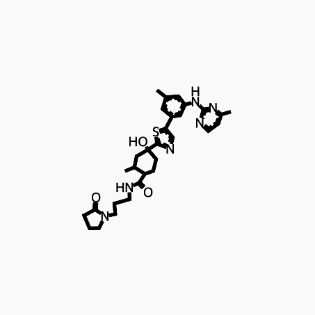 Cc1cc(Nc2nccc(C)n2)cc(-c2cnc(C3(O)CCC(C(=O)NCCCN4CCCC4=O)C(C)C3)s2)c1